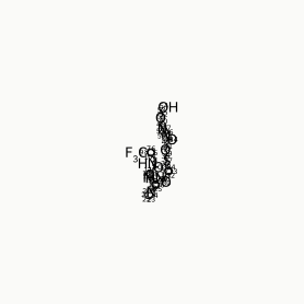 O=C(NCc1cccc(C(F)(F)F)c1)c1ccnc(-c2cc(N3CCCCC3)ccc2NC(=O)c2cccc(CSCCOCCC(=O)N3CCN(CCOCCO)CC3)c2)c1